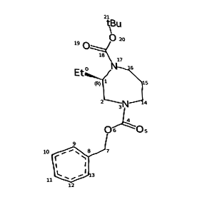 CC[C@@H]1CN(C(=O)OCc2ccccc2)CCCN1C(=O)OC(C)(C)C